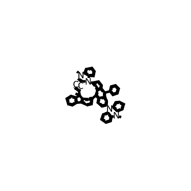 CN1c2ccccc2N(c2ccc3c4c5cc(ccc5c(-c5ccccc5)c3c2)N2c3ccccc3N(C)c3ccc(cc32)C2(C)c3ccccc3-c3ccc-4cc32)c2ccccc21